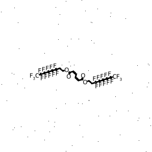 O=C(/C=C\C=C/C(=O)OCCC(F)(F)C(F)(F)C(F)(F)C(F)(F)C(F)(F)C(F)(F)F)OCCC(F)(F)C(F)(F)C(F)(F)C(F)(F)C(F)(F)C(F)(F)F